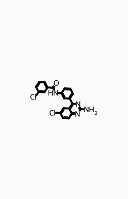 Nc1nc(-c2cccc(NC(=O)c3cccc(Cl)c3)c2)c2cc(Cl)ccc2n1